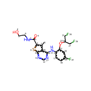 Cc1c(C(=O)NCCO)sc2ncnc(Nc3ccc(F)cc3OC(CF)CF)c12